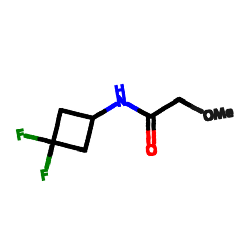 COCC(=O)NC1CC(F)(F)C1